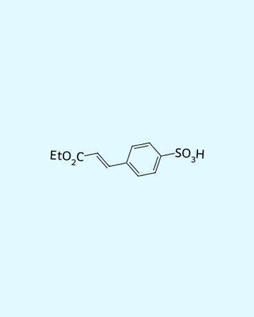 CCOC(=O)/C=C/c1ccc(S(=O)(=O)O)cc1